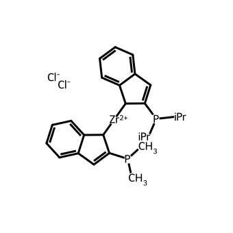 CC(C)P(C1=Cc2ccccc2[CH]1[Zr+2][CH]1C(P(C)C)=Cc2ccccc21)C(C)C.[Cl-].[Cl-]